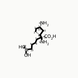 N[C@H]1CC[C@@H]([C@@](N)(CCCCB(O)O)C(=O)O)C1